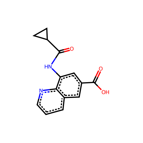 O=C(O)c1cc(NC(=O)C2CC2)c2ncccc2c1